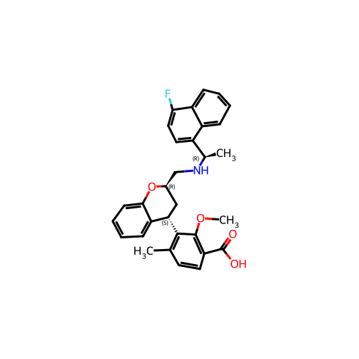 COc1c(C(=O)O)ccc(C)c1[C@H]1C[C@H](CN[C@H](C)c2ccc(F)c3ccccc23)Oc2ccccc21